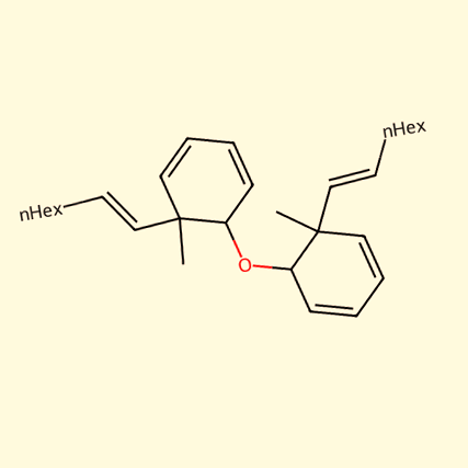 CCCCCCC=CC1(C)C=CC=CC1OC1C=CC=CC1(C)C=CCCCCCC